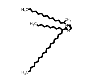 CCCCCCCCCCCCCCCCCCC(CCCCCCCCC)c1nccn1C(C)CCCCCCCCCCCCC